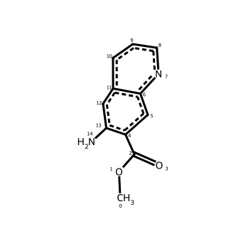 COC(=O)c1cc2ncccc2cc1N